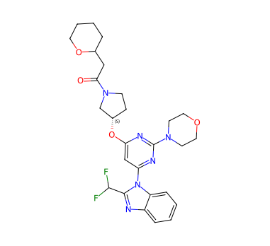 O=C(CC1CCCCO1)N1CC[C@H](Oc2cc(-n3c(C(F)F)nc4ccccc43)nc(N3CCOCC3)n2)C1